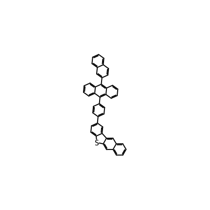 c1ccc2cc(-c3c4ccccc4c(-c4ccc(-c5ccc6sc7cc8ccccc8cc7c6c5)cc4)c4ccccc34)ccc2c1